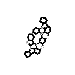 c1ccc2c(c1)B1c3cc4c(cc3Oc3ccc5c6ccccc6n-2c5c31)Oc1ccc2c3ccccc3n3c2c1B4c1c-3sc2ccccc12